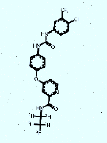 [2H]C([2H])([2H])C([2H])([2H])NC(=O)c1cc(Oc2ccc(NC(=O)Nc3ccc(Cl)c(C(F)(F)F)c3)cc2)ccn1